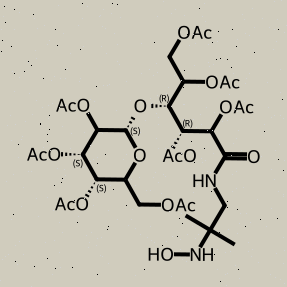 CC(=O)OCC(OC(C)=O)[C@@H](O[C@@H]1OC(COC(C)=O)[C@H](OC(C)=O)[C@H](OC(C)=O)C1OC(C)=O)[C@@H](OC(C)=O)C(OC(C)=O)C(=O)NCC(C)(C)NO